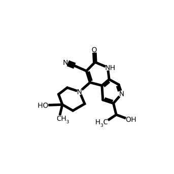 CC(O)c1cc2c(N3CCC(C)(O)CC3)c(C#N)c(=O)[nH]c2cn1